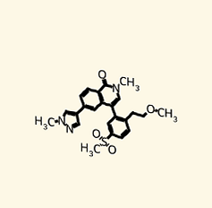 COCCc1ccc(S(C)(=O)=O)cc1-c1cn(C)c(=O)c2ccc(-c3cnn(C)c3)cc12